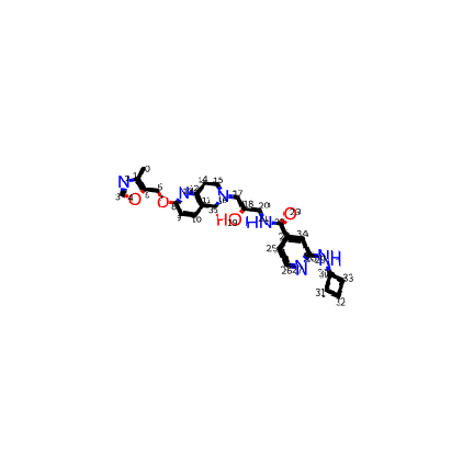 Cc1ncoc1COc1ccc2c(n1)CCN(CC(O)CNC(=O)c1ccnc(NC3CCC3)c1)C2